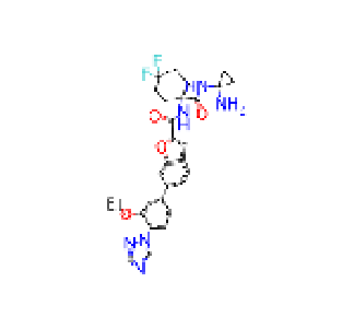 CCOc1cc(-c2ccc3cc(C(=O)NC4(C(=O)NC5(N)CC5)CCC(F)(F)CC4)oc3c2)ccc1-n1cncn1